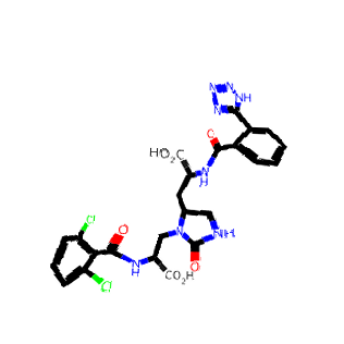 O=C(NC(CC1CNC(=O)N1CC(NC(=O)c1c(Cl)cccc1Cl)C(=O)O)C(=O)O)c1ccccc1-c1nnn[nH]1